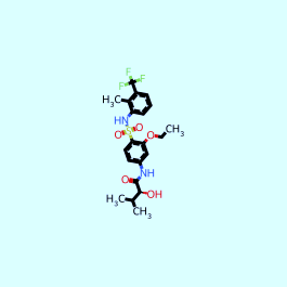 CCOc1cc(NC(=O)[C@@H](O)C(C)C)ccc1S(=O)(=O)Nc1cccc(C(F)(F)F)c1C